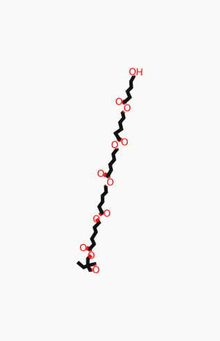 CCC1(COC(=O)CCCCCOC(=O)CCCCCOC(=O)CCCCCOC(=O)CCCCCOC(=O)CCCCCO)COC1